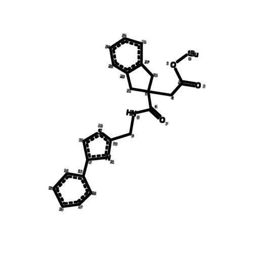 CC(C)(C)OC(=O)CC1(C(=O)NCc2nc(-c3ccccc3)cs2)Cc2ccccc2C1